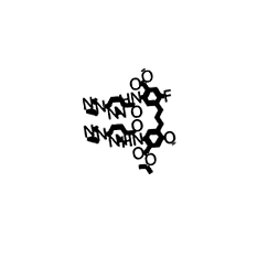 COC(=O)c1cc(F)c(CCCc2cc(NC(=O)c3ccc(-n4ccnc4)nn3)c(C(=O)OC(C)C)cc2OC)cc1NC(=O)c1ccc(-n2ccnc2)nn1